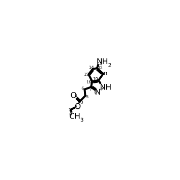 CCOC(=O)CCc1n[nH]c2cc(N)ccc12